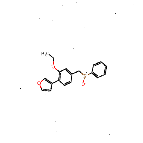 CCOc1cc(C[S+]([O-])c2ccccc2)ccc1-c1ccoc1